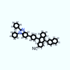 N#Cc1ccc2c(-c3ccc4ccccc4c3)c3ccccc3c(-c3ccc(-c4ccc5c(c4)nc(-c4ccccc4)n5-c4ccccc4)cc3)c2c1